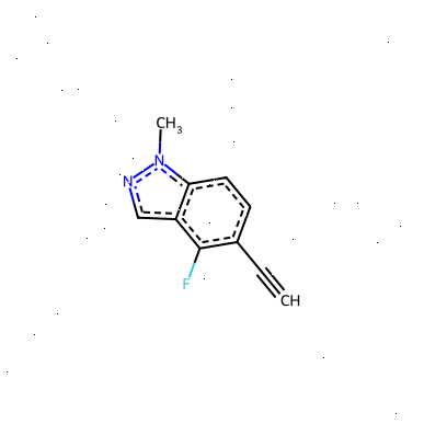 C#Cc1ccc2c(cnn2C)c1F